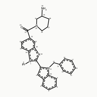 CC(C)n1c(-c2cc3ccccc3n2Cc2ccccc2)nc2cc(C(=O)N3CCCC(N)C3)ccc21